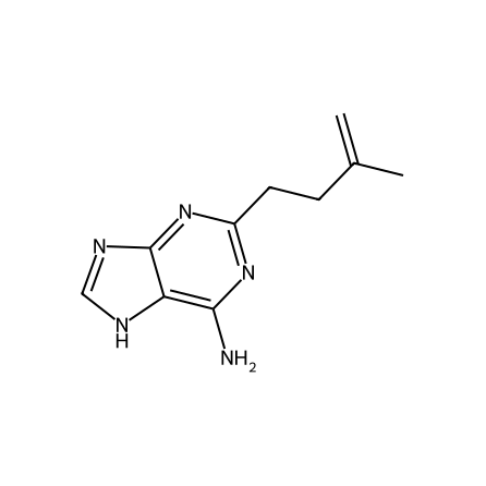 C=C(C)CCc1nc(N)c2[nH]cnc2n1